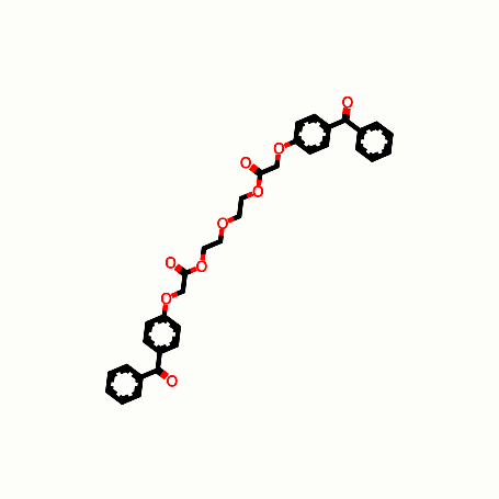 O=C(COc1ccc(C(=O)c2ccccc2)cc1)OCCOCCOC(=O)COc1ccc(C(=O)c2ccccc2)cc1